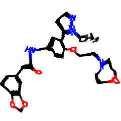 Cn1nccc1-c1cc(NC(=O)Cc2ccc3c(c2)OCO3)ccc1OCCN1CCOCC1